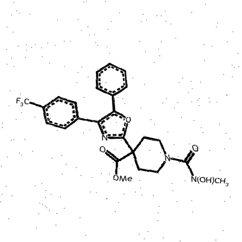 COC(=O)C1(c2nc(-c3ccc(C(F)(F)F)cc3)c(-c3ccccc3)o2)CCN(C(=O)N(C)O)CC1